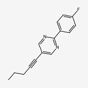 CCCC#Cc1cnc(-c2ccc(F)cc2)nc1